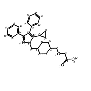 O=C(O)COCC1CCC(Cn2nc(-c3ccccc3)c(-c3ccccc3)c2C2CC2)CC1